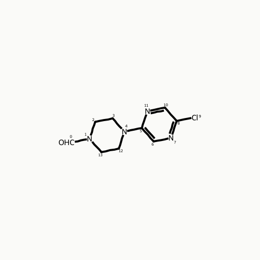 O=CN1CCN(c2cnc(Cl)cn2)CC1